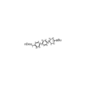 CCCCCCCCCCCc1ccc(-c2ccc(C3CCC(CCCC)CC3)cc2)cc1